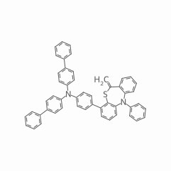 C=C1Sc2c(-c3ccc(N(c4ccc(-c5ccccc5)cc4)c4ccc(-c5ccccc5)cc4)cc3)cccc2N(c2ccccc2)c2ccccc21